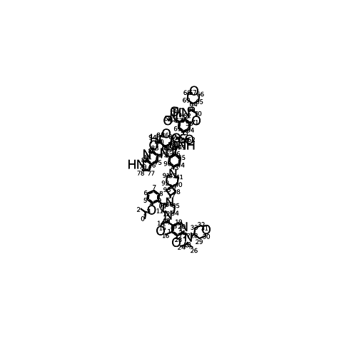 CC(C)Oc1ccccc1[C@@H]1CN([C@@H]2COCc3c2cnc2c3OC[C@H](C)N2C2CCOCC2)CCN1C1CC2(CCN(c3ccc(C(=O)NS(=O)(=O)c4cc5c(c([N+](=O)[O-])c4)N[C@H](C4CCOCC4)CO5)c(N4c5cc6cc[nH]c6nc5O[C@H]5COCC[C@@H]54)c3)CC2)C1